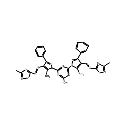 Cc1nsc(N=Nc2c(-c3ccccc3)nn(-c3nc(O)nc(-n4nc(-c5ccccc5)c(N=Nc5nc(C)ns5)c4N)n3)c2N)n1